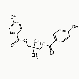 CC(C)(COC(=O)c1ccc(O)cc1)COC(=O)c1ccc(O)cc1